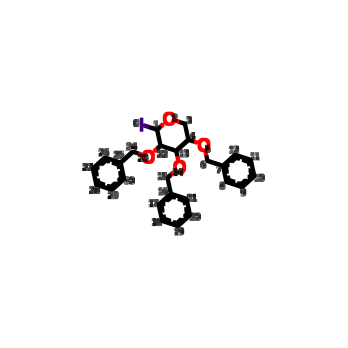 IC1OCC(OCc2ccccc2)C(OCc2ccccc2)C1OCc1ccccc1